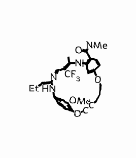 CC/C=C1/N=C\C(C(F)(F)F)=C(/C)Nc2cc(ccc2C(=O)NC)OCCCCCOc2ccc(cc2OC)N1